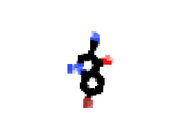 N#Cc1c[nH]c2cc(Br)ccc2c1=O